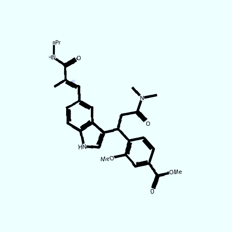 CCCNC(=O)/C(C)=C/c1ccc2[nH]cc(C(CC(=O)N(C)C)c3ccc(C(=O)OC)cc3OC)c2c1